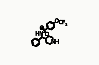 O=S(=O)(NC(c1ccccc1)C1CCNCC1)c1ccc(OC(F)(F)F)cc1